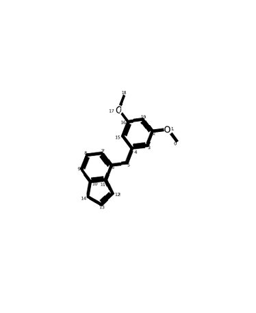 COc1cc(Cc2cccc3c2C=CC3)cc(OC)c1